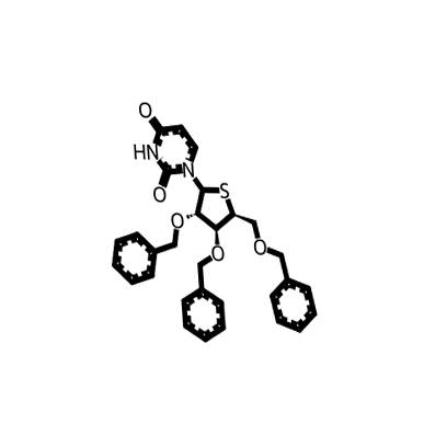 O=c1ccn(C2S[C@@H](COCc3ccccc3)[C@@H](OCc3ccccc3)[C@@H]2OCc2ccccc2)c(=O)[nH]1